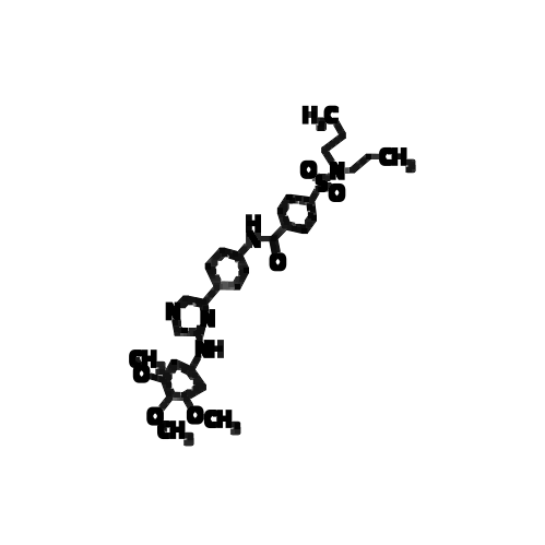 CCCN(CCC)S(=O)(=O)c1ccc(C(=O)Nc2ccc(-c3cncc(Nc4cc(OC)c(OC)c(OC)c4)n3)cc2)cc1